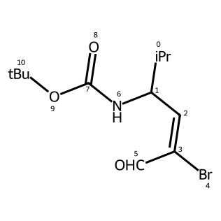 CC(C)C(/C=C(/Br)C=O)NC(=O)OC(C)(C)C